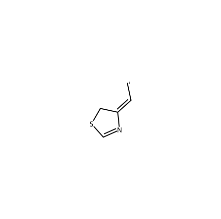 [CH]/C=C1\CSC=N1